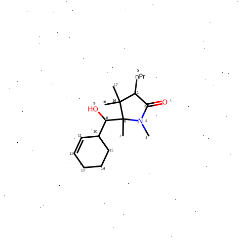 CCCC1C(=O)N(C)C(C)(C(O)C2C=CCCC2)C1(C)C